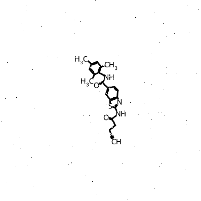 C#CCCC(=O)Nc1nc2ccc(C(=O)Nc3c(C)cc(C)cc3C)cc2s1